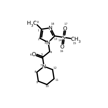 Cc1cn(CC(=O)N2CCCCC2)c(S(C)(=O)=O)n1